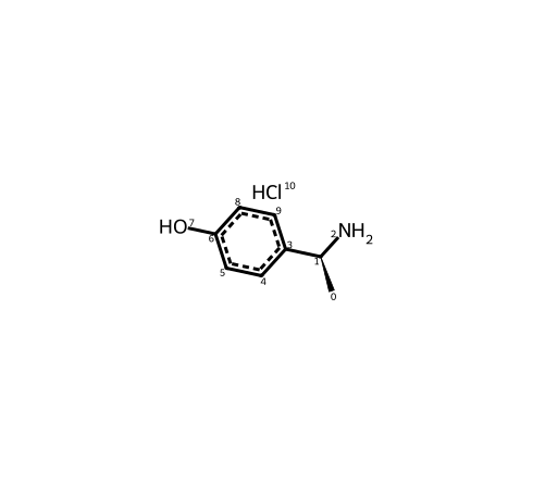 C[C@H](N)c1ccc(O)cc1.Cl